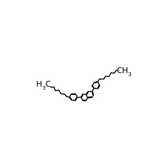 CCCCCCCCc1ccc(-c2ccc3ccc(-c4ccc(CCCCCCCC)cc4)cc3c2)cc1